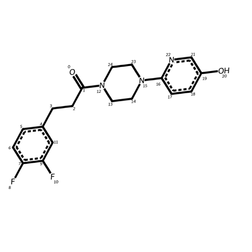 O=C(CCc1ccc(F)c(F)c1)N1CCN(c2ccc(O)cn2)CC1